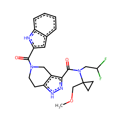 COCC1(N(CC(F)F)C(=O)c2n[nH]c3c2CN(C(=O)c2cc4ccccc4[nH]2)CC3)CC1